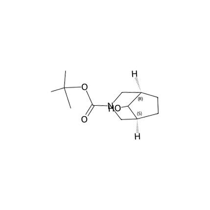 CC(C)(C)OC(=O)N1C[C@H]2CC[C@@H](C1)C2O